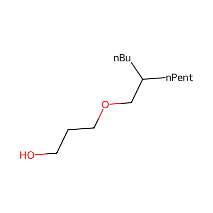 CCCCCC(CCCC)COCCCO